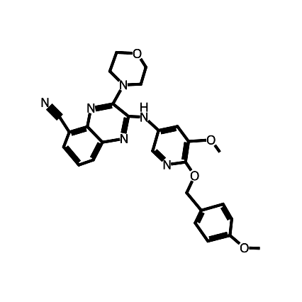 COc1ccc(COc2ncc(Nc3nc4cccc(C#N)c4nc3N3CCOCC3)cc2OC)cc1